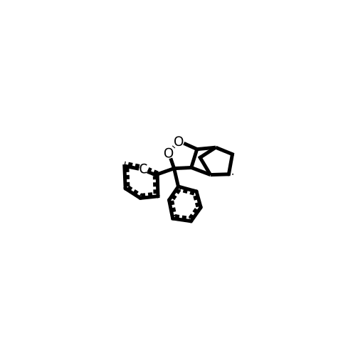 [CH]1CC2CC1C1C2OOC1(c1ccccc1)c1ccccc1